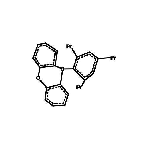 CC(C)c1cc(C(C)C)c(B2c3ccccc3Oc3ccccc32)c(C(C)C)c1